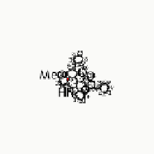 COc1cccc(C(c2c(-c3ccccc3)[nH]c3ccccc23)C(C(=O)OCc2ccccc2)C(=O)OCc2ccccc2)c1